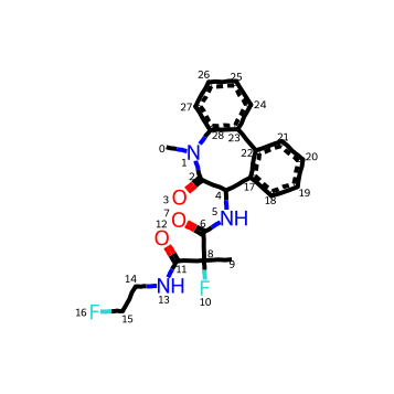 CN1C(=O)C(NC(=O)C(C)(F)C(=O)NCCF)c2ccccc2-c2ccccc21